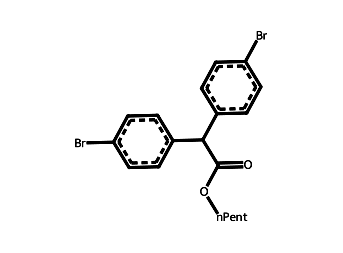 CCCCCOC(=O)C(c1ccc(Br)cc1)c1ccc(Br)cc1